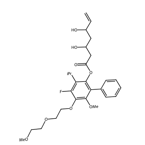 C=CC(O)CC(O)CC(=O)Oc1c(-c2ccccc2)c(OC)c(OCCOCCOC)c(F)c1C(C)C